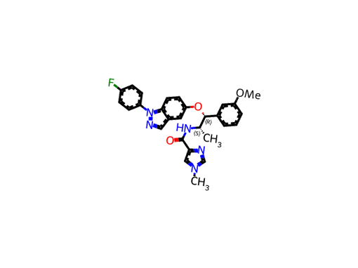 COc1cccc([C@@H](Oc2ccc3c(cnn3-c3ccc(F)cc3)c2)[C@H](C)NC(=O)c2cn(C)cn2)c1